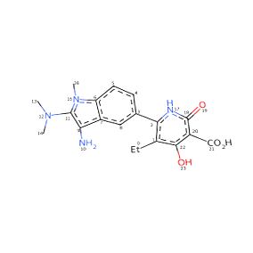 CCc1c(-c2ccc3c(c2)c(N)c(N(C)C)n3C)[nH]c(=O)c(C(=O)O)c1O